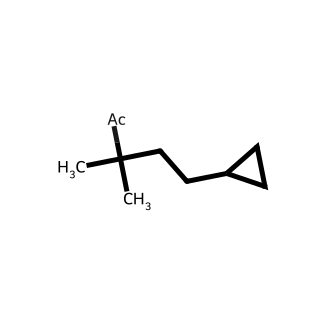 CC(=O)C(C)(C)CCC1CC1